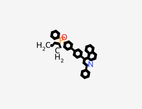 C=C/C=C(\C=C)P(=O)(c1ccccc1)c1ccc(-c2ccc(-c3cc(-c4ccccc4)nc4ccc5ccccc5c34)cc2)cc1